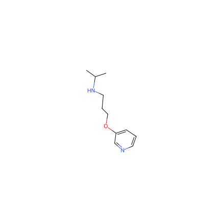 CC(C)NCCCOc1cccnc1